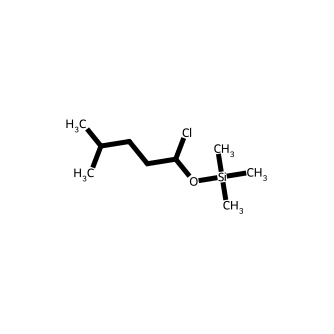 CC(C)CCC(Cl)O[Si](C)(C)C